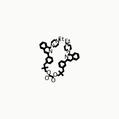 CCN1CCN(c2nc(-c3cccc(CC(C)(C)COC(=O)C(=O)OCC(C)(C)Cc4cccc(-c5cc6ccccc6c(N6CCN(CC)CC6)n5)c4)c3)cc3ccccc23)CC1